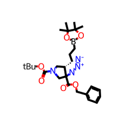 CC(C)(C)OC(=O)N1C[C@H](CCCB2OC(C)(C)C(C)(C)O2)C(N=[N+]=[N-])(C(=O)OCc2ccccc2)C1